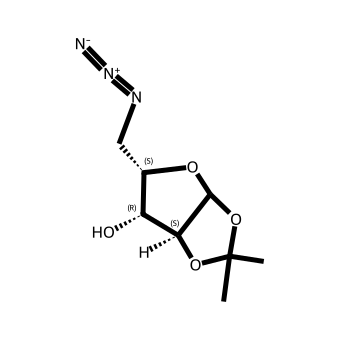 CC1(C)OC2O[C@@H](CN=[N+]=[N-])[C@@H](O)[C@@H]2O1